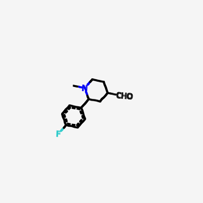 CN1CCC(C=O)CC1c1ccc(F)cc1